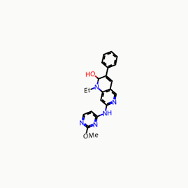 CCN1c2cc(Nc3ccnc(OC)n3)ncc2C=C(c2ccccc2)C1O